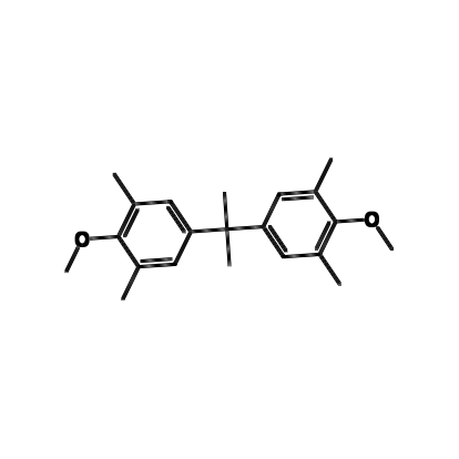 COc1c(C)cc(C(C)(C)c2cc(C)c(OC)c(C)c2)cc1C